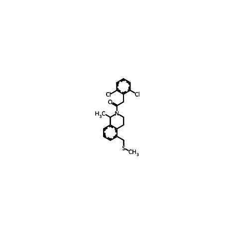 CSCc1cccc2c1CCN(C(=O)Cc1c(Cl)cccc1Cl)C2C